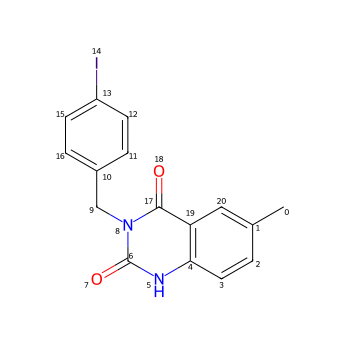 Cc1ccc2[nH]c(=O)n(Cc3ccc(I)cc3)c(=O)c2c1